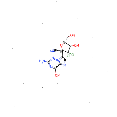 N#C[C@@]1(c2cnc3c(O)nc(N)nn23)O[C@H](CO)C(O)C1(Cl)Cl